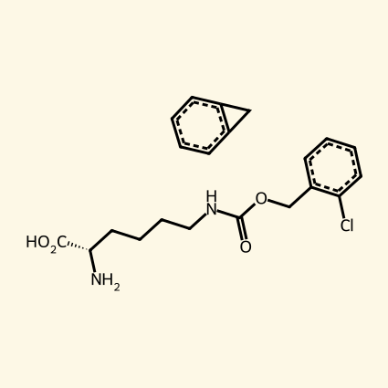 N[C@@H](CCCCNC(=O)OCc1ccccc1Cl)C(=O)O.c1ccc2c(c1)C2